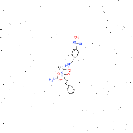 C[C@H](NC(=O)[C@@H](CCc1ccccc1)OC(N)=O)C(=O)NCc1ccc(C(=N)NO)cc1